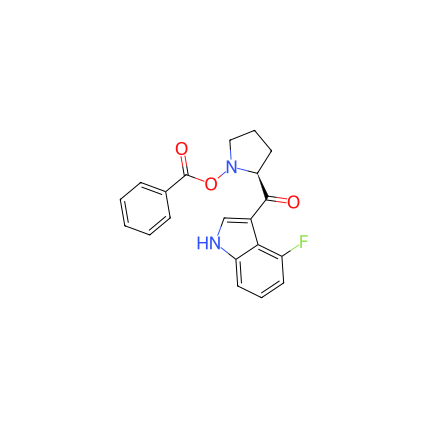 O=C(ON1CCC[C@H]1C(=O)c1c[nH]c2cccc(F)c12)c1ccccc1